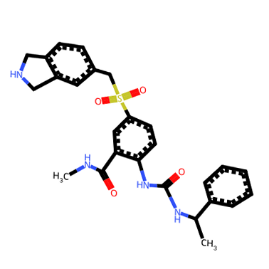 CNC(=O)c1cc(S(=O)(=O)Cc2ccc3c(c2)CNC3)ccc1NC(=O)NC(C)c1ccccc1